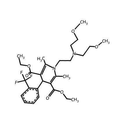 CCOC(=O)C1=C(C)N(CCN(CCOC)CCOC)C(C)=C(C(=O)OCC)C1c1ccccc1C(F)(F)F